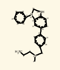 CN(CCN)Cc1ccc(-c2ccc3c(c2)N(c2ccccc2)CN3)cc1